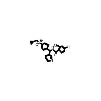 O=C(NC(c1ccc(S(=O)(=O)CC2CC2)cc1)c1cccnc1)c1ccc(Cl)cc1Cl